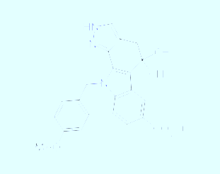 CCOC(=O)c1ccc2c(c1)c1c(n2Cc2ccc(OC)cc2)-c2n[nH]cc2CC1(C)C